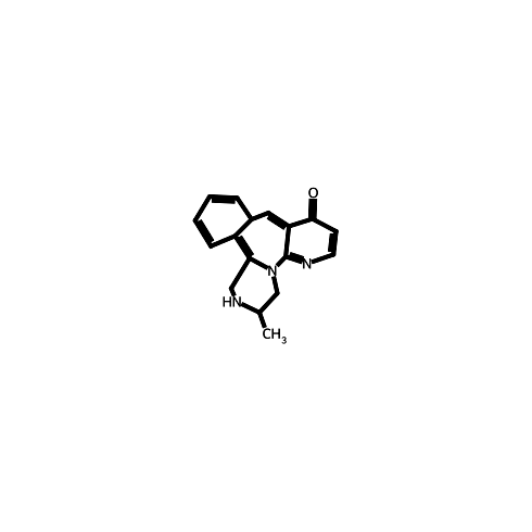 CC1CN2C3=NC=CC(=O)C3=CC3C=CC=CC3=C2CN1